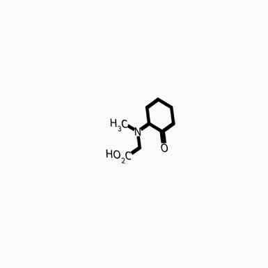 CN(CC(=O)O)C1CCCCC1=O